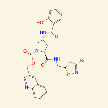 O=C(N[C@@H]1C[C@@H](C(=O)NCC2CC(Br)=NO2)N(C(=O)OCc2cnc3ccccc3c2)C1)c1ccccc1O